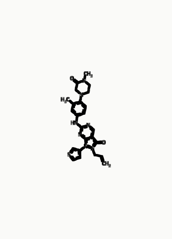 C=CCn1c(=O)c2cnc(Nc3ccc(N4CCN(C)C(=O)C4)c(C)c3)nc2n1-c1ccsc1